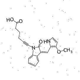 COc1cc[nH]c1C=C1C(=O)N(C#CCCCC(=O)O)c2ccccc21